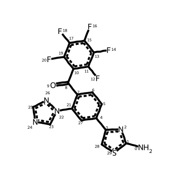 Nc1nc(-c2ccc(C(=O)c3c(F)c(F)c(F)c(F)c3F)c(-n3cncn3)c2)cs1